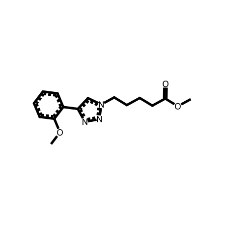 COC(=O)CCCCn1cc(-c2ccccc2OC)nn1